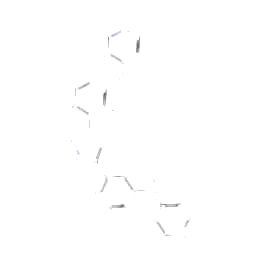 Cc1cc(Nc2cccc(-n3cc(-c4cccc(Nc5ccncc5)c4)nn3)c2)c(Cl)cn1